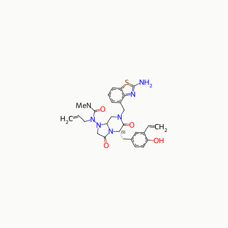 C=CCN(C(=O)NC)N1CC(=O)N2C1CN(Cc1cccc3sc(N)nc13)C(=O)[C@@H]2Cc1ccc(O)c(C=C)c1